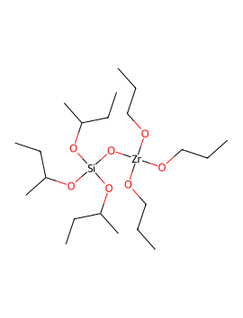 CCC[O][Zr]([O]CCC)([O]CCC)[O][Si](OC(C)CC)(OC(C)CC)OC(C)CC